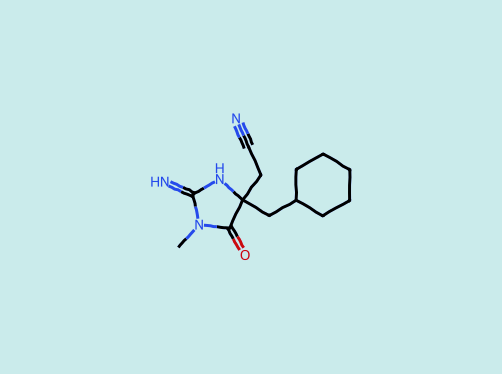 CN1C(=N)NC(CC#N)(CC2CCCCC2)C1=O